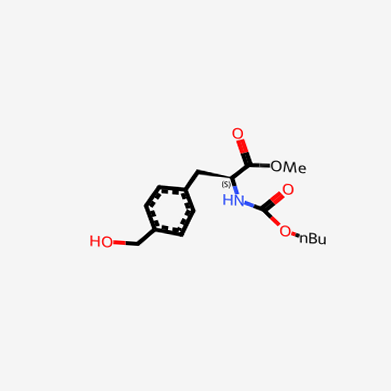 CCCCOC(=O)N[C@@H](Cc1ccc(CO)cc1)C(=O)OC